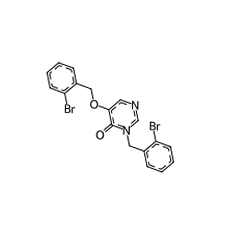 O=c1c(OCc2ccccc2Br)cncn1Cc1ccccc1Br